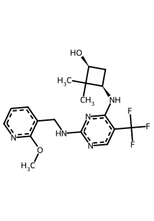 COc1ncccc1CNc1ncc(C(F)(F)F)c(N[C@@H]2C[C@H](O)C2(C)C)n1